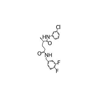 C[C@H](CCC(=O)NCc1ccc(F)c(F)c1)C(=O)Nc1cccc(Cl)c1